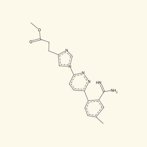 COC(=O)CCc1cn(-c2ccc(-c3ccc(C)cc3C(=N)N)nn2)cn1